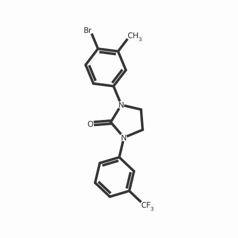 Cc1cc(N2CCN(c3cccc(C(F)(F)F)c3)C2=O)ccc1Br